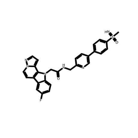 CS(=N)(=O)c1ccc(-c2ccc(CNC(=O)Cn3c4ccc(F)cc4c4ccn5nccc5c43)nc2)cc1